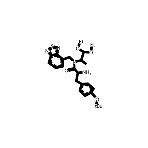 CCOC(OCC)C(C)N(Cc1cccc2nsnc12)C(=O)C(N)Cc1ccc(OC(C)(C)C)cc1